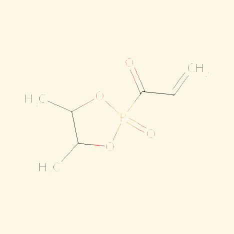 C=CC(=O)P1(=O)OC(C)C(C)O1